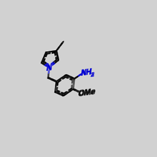 COc1ccc(Cn2ccc(C)c2)cc1N